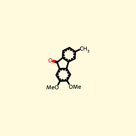 COc1cc2c(cc1OC)-c1cc(C)ccc1C2=O